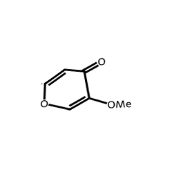 COc1co[c]cc1=O